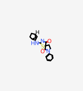 O=C1N=C(N[C@H]2C[C@@H]3CCC2C3)SC12CCN(c1ccccc1)C2=O